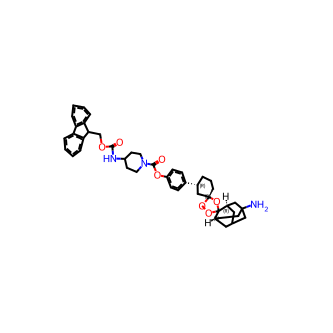 NC12CC3C[C@H](C1)C1(OO[C@@]4(CCC[C@@H](c5ccc(OC(=O)N6CCC(NC(=O)OCC7c8ccccc8-c8ccccc87)CC6)cc5)C4)O1)[C@@H](C3)C2